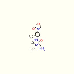 NC[C@H](C(=O)Nc1ccc(N2CCOCC2=O)cc1C(F)(F)F)N(CC(F)(F)F)C1CC1